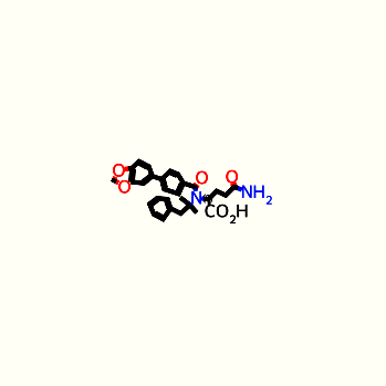 CC(C)(Cc1ccccc1)N(C(=O)c1ccc(-c2ccc3c(c2)OCO3)cc1)[C@@H](CCC(N)=O)C(=O)O